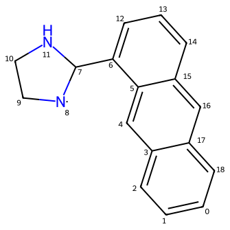 c1ccc2cc3c(C4[N]CCN4)cccc3cc2c1